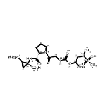 CCCCCCCC1C[C@]1(NC(=O)[C@@H]1CCCN1C(=O)CNC(=O)OC(CN(C)S(C)(=O)=O)C(C)(C)C)C(=O)O